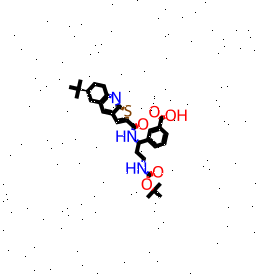 CC(C)(C)OC(=O)NCCC(NC(=O)c1cc2cc3c(nc2s1)CC[C@H](C(C)(C)C)C3)c1cccc(C(=O)O)c1